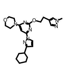 Cn1cc(CCOc2nc(N3CCOCC3)cc(-n3ccc(C4CCCCC4)n3)n2)cn1